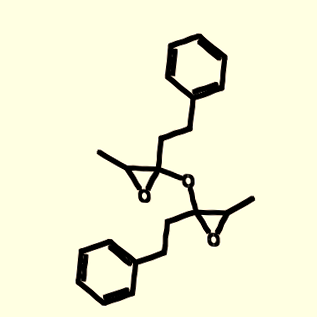 CC1OC1(CCc1ccccc1)OC1(CCc2ccccc2)OC1C